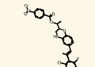 CC(=Cc1ccc2c(c1)NCC(C(C)OC(=O)c1ccc([N+](=O)[O-])cc1)O2)c1c(F)cccc1Cl